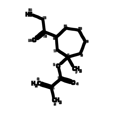 C=C(C)C(=O)OC1(C)CCCCC(C(=O)CS)C1